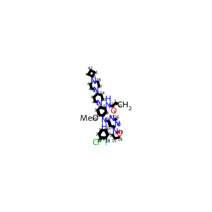 C=CC(=O)Nc1cc(Nc2cc(N3OCC[C@@H]3c3cccc(Cl)c3F)ncn2)c(OC)cc1N1CCC(N2CCN(C3CCC3)CC2)CC1